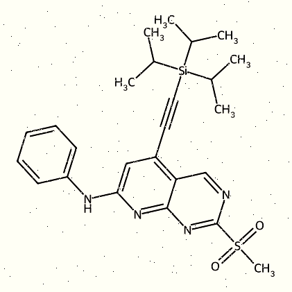 CC(C)[Si](C#Cc1cc(Nc2ccccc2)nc2nc(S(C)(=O)=O)ncc12)(C(C)C)C(C)C